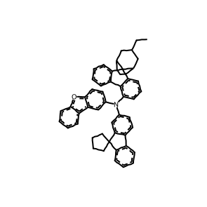 CCC1CC2CCCC(C1)C21c2ccccc2-c2c(N(c3ccc4c(c3)C3(CCCC3)c3ccccc3-4)c3ccc4oc5ccccc5c4c3)cccc21